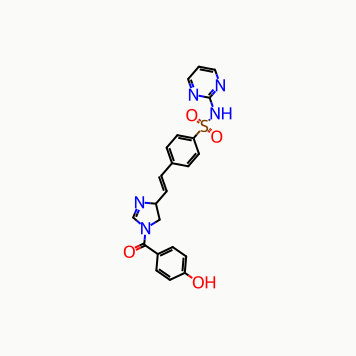 O=C(c1ccc(O)cc1)N1C=NC(/C=C/c2ccc(S(=O)(=O)Nc3ncccn3)cc2)C1